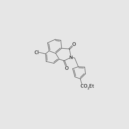 CCOC(=O)c1ccc(CN2C(=O)c3cccc4c(Cl)ccc(c34)C2=O)cc1